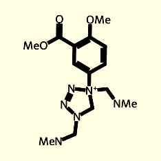 CNCN1C[N+](CNC)(c2ccc(OC)c(C(=O)OC)c2)N=N1